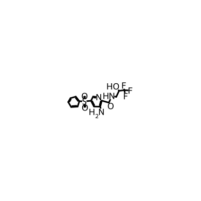 Nc1cc(S(=O)(=O)c2ccccc2)cnc1C(=O)NCC(O)C(F)(F)F